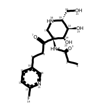 CCC(=O)N[C@@]1(C(=O)CCc2ccc(F)nc2)CN[C@H](CO)[C@@H](O)[C@@H]1O